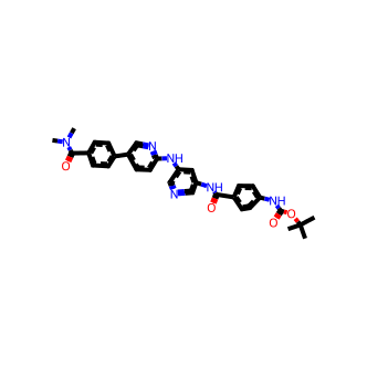 CN(C)C(=O)c1ccc(-c2ccc(Nc3cncc(NC(=O)c4ccc(NC(=O)OC(C)(C)C)cc4)c3)nc2)cc1